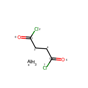 O=C(Cl)CCC(=O)Cl.[AlH3]